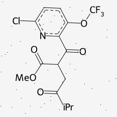 COC(=O)C(CC(=O)C(C)C)C(=O)c1nc(Cl)ccc1OC(F)(F)F